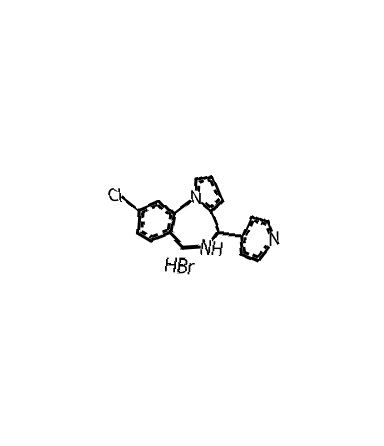 Br.Clc1ccc2c(c1)-n1cccc1C(c1ccncc1)NC2